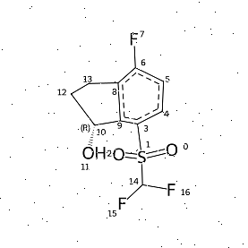 O=S(=O)(c1ccc(F)c2c1[C@H](O)CC2)C(F)F